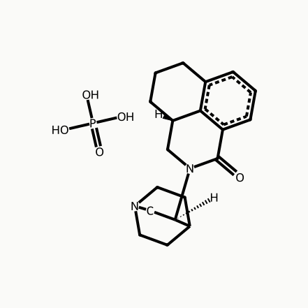 O=C1c2cccc3c2[C@@H](CCC3)CN1[C@@H]1CN2CCC1CC2.O=P(O)(O)O